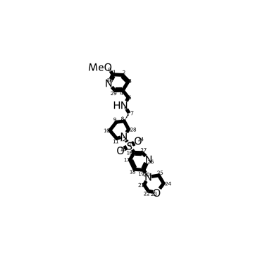 COc1ccc(CNC[C@H]2CCCN(S(=O)(=O)c3ccc(N4CCOCC4)nc3)C2)cn1